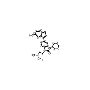 CN(C)CCn1c(=O)n(C2CCCOC2)c2nc(-c3cnc4ccc(C#N)cn34)ncc21